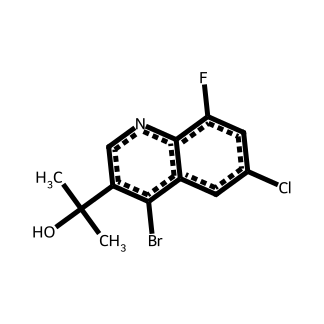 CC(C)(O)c1cnc2c(F)cc(Cl)cc2c1Br